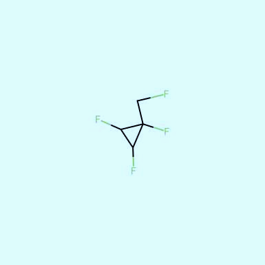 FCC1(F)C(F)C1F